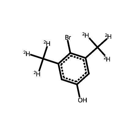 [2H]C([2H])([2H])c1cc(O)cc(C([2H])([2H])[2H])c1Br